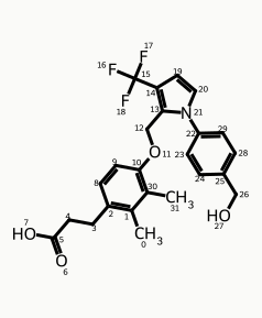 Cc1c(CCC(=O)O)ccc(OCc2c(C(F)(F)F)ccn2-c2ccc(CO)cc2)c1C